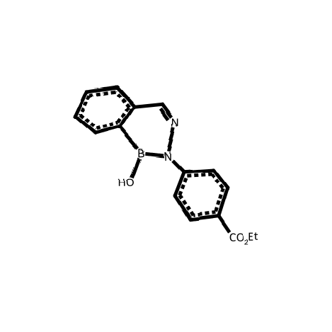 CCOC(=O)c1ccc(N2N=Cc3ccccc3B2O)cc1